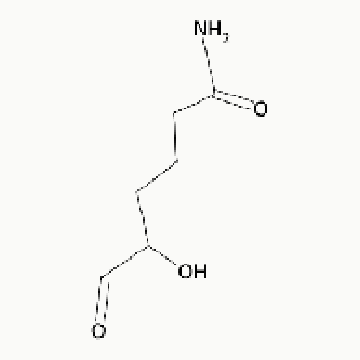 NC(=O)CCCC(O)C=O